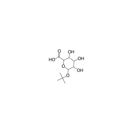 CC(C)(C)OC1OC(C(=O)O)C(O)C(O)C1O